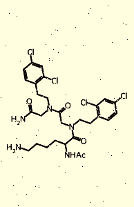 CC(=O)NC(CCCCN)C(=O)N(CCc1ccc(Cl)cc1Cl)CC(=O)N(CCc1ccc(Cl)cc1Cl)CC(N)=O